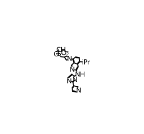 CC(C)c1ccc(N2CC(CS(C)(=O)=O)C2)c2cnc(Nc3ccnc(-c4cccnc4)n3)cc12